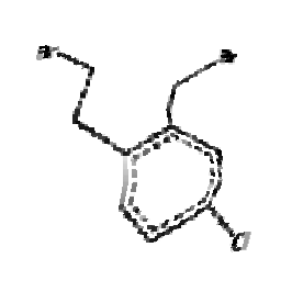 Clc1ccc(CCBr)c(CBr)c1